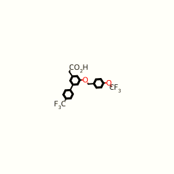 O=C(O)Cc1cc(OCc2ccc(OC(F)(F)F)cc2)cc(-c2ccc(C(F)(F)F)cc2)c1